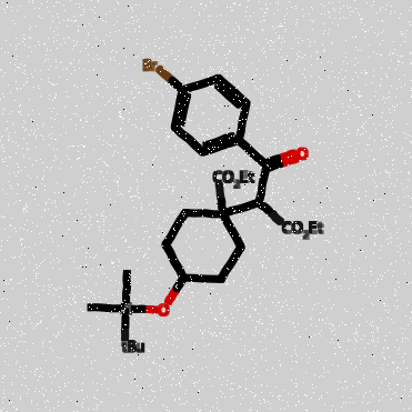 CCOC(=O)C(C(=O)c1ccc(Br)cc1)C1(C(=O)OCC)CCC(O[Si](C)(C)C(C)(C)C)CC1